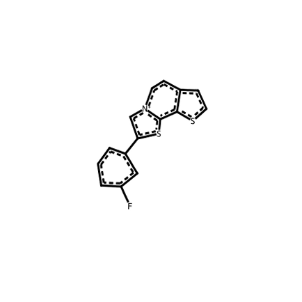 Fc1cccc(-c2c[n+]3ccc4ccsc4c3s2)c1